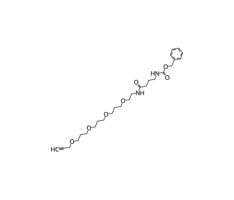 C#CCOCCCOCCCOCCCOCCNC(=O)CCCNC(=O)OCc1ccccc1